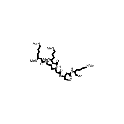 CNCCCCC(CC(=O)NCCCC(CC(=O)NC(CC(C)=O)CC(=O)NC(CCCCNC)CC(C)=O)NC(=O)CC(CCCNC)NC)NC